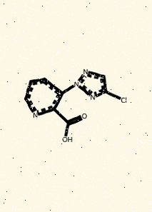 O=C(O)c1ncccc1-n1ncc(Cl)n1